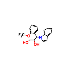 OC[C@H](O)[C@@H](c1ccccc1OC(F)(F)F)n1ccc2ccccc21